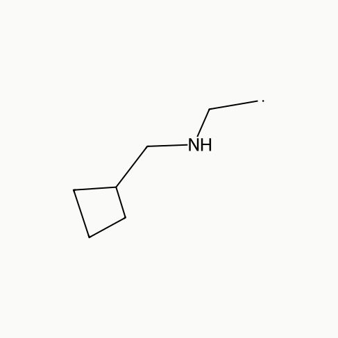 [CH2]CNCC1CCC1